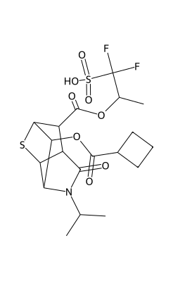 CC(C)N1C(=O)C2C3SC(C(OC(=O)C4CCC4)C31)C2C(=O)OC(C)C(F)(F)S(=O)(=O)O